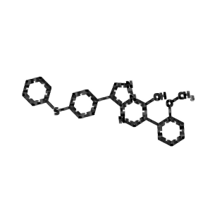 COc1ccccc1-c1cnc2c(-c3ccc(Sc4ccccc4)cc3)cnn2c1O